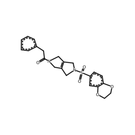 O=C(Cc1ccccc1)N1CC2=C(C1)CN(S(=O)(=O)c1ccc3c(c1)OCCO3)C2